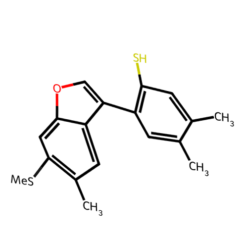 CSc1cc2occ(-c3cc(C)c(C)cc3S)c2cc1C